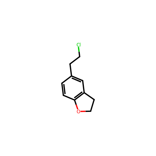 ClCCc1ccc2c(c1)CCO2